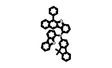 CC1(C)c2ccccc2-c2ccc(N(c3cccc4c3oc3ccccc34)c3cccc4oc5c(-c6ccccc6)c6ccccc6cc5c34)cc21